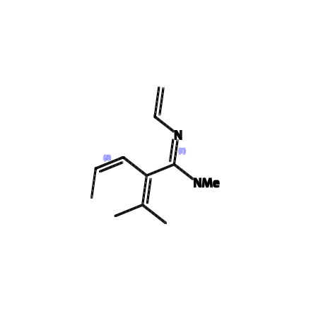 C=C/N=C(/NC)C(/C=C\C)=C(C)C